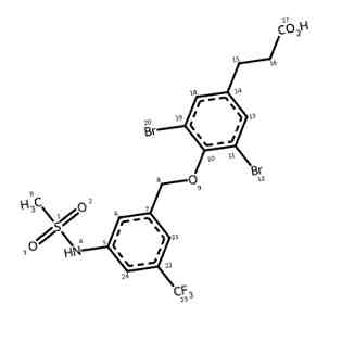 CS(=O)(=O)Nc1cc(COc2c(Br)cc(CCC(=O)O)cc2Br)cc(C(F)(F)F)c1